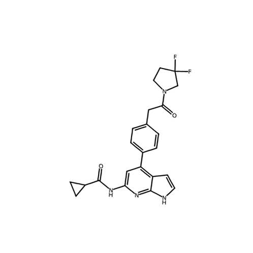 O=C(Nc1cc(-c2ccc(CC(=O)N3CCC(F)(F)C3)cc2)c2cc[nH]c2n1)C1CC1